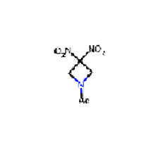 [CH2]C(=O)N1CC([N+](=O)[O-])([N+](=O)[O-])C1